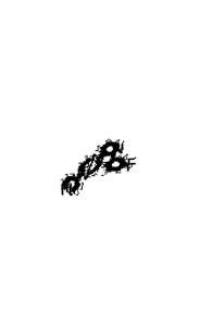 Fc1cccc(-c2ncccc2N2CCN(c3ccncc3)CC2)c1